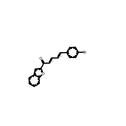 O=C(/C=C/C=C/c1ccc(Br)cc1)c1cc2ccccc2o1